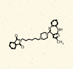 Cc1cc2c(s1)Nc1ccccc1N=C2N1CCN(CCCCCCN2C(=O)c3ccccc3C2=O)CC1